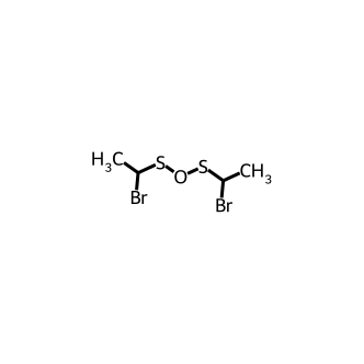 CC(Br)SOSC(C)Br